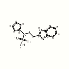 O=S(=O)(O)C(CCc1nc2ccccc2o1)n1cccc1